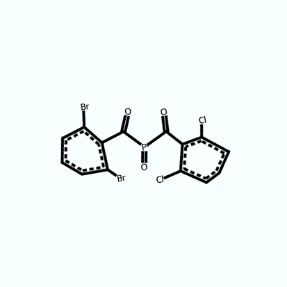 O=C(c1c(Cl)cccc1Cl)[P](=O)C(=O)c1c(Br)cccc1Br